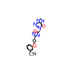 Cn1cnc2ncn(Cc3nc(C4CC(Oc5cccc(C#N)c5)C4)no3)c(=O)c21